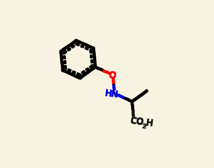 CC(NOc1ccccc1)C(=O)O